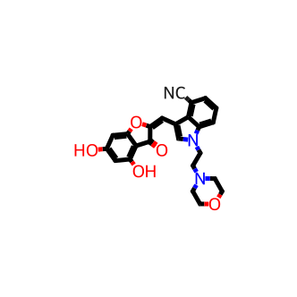 N#Cc1cccc2c1c(C=C1Oc3cc(O)cc(O)c3C1=O)cn2CCN1CCOCC1